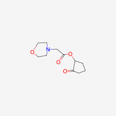 O=C(CN1CCOCC1)OC1CCCC1=O